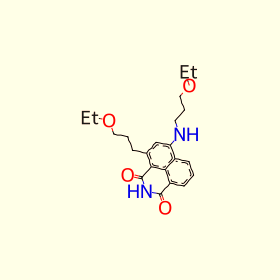 CCOCCCNc1cc(CCCOCC)c2c3c(cccc13)C(=O)NC2=O